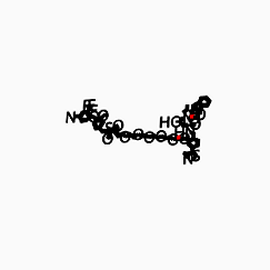 COc1cc(/C=C2\SC(=O)N(CCOCCOCCOCCOCCOCCOc3cc(-c4scnc4C)ccc3CNC(=O)[C@@H]3C[C@@H](O)CN3C(=O)[C@H](C(C)C)N3Cc4ccccc4C3=O)C2=O)ccc1Oc1ccc(C#N)cc1C(F)(F)F